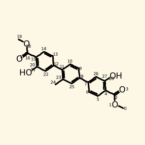 COC(=O)c1ccc(-c2ccc(-c3ccc(C(=O)OC)c(O)c3)c(C)c2)cc1O